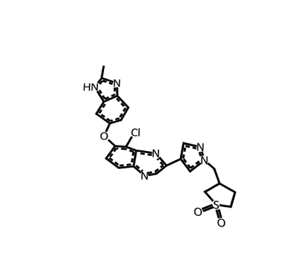 Cc1nc2ccc(Oc3ccc4ncc(-c5cnn(CC6CCS(=O)(=O)C6)c5)nc4c3Cl)cc2[nH]1